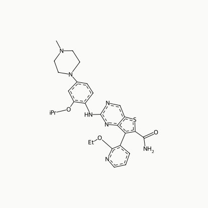 CCOc1ncccc1-c1c(C(N)=O)sc2cnc(Nc3ccc(N4CCN(C)CC4)cc3OC(C)C)nc12